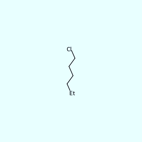 CCCCCCCl